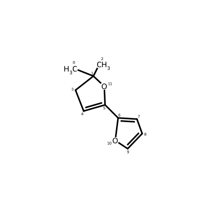 CC1(C)CC=C(c2ccco2)O1